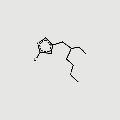 [Li][c]1cc(CC(CC)CCCC)cs1